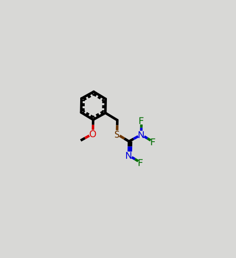 COc1ccccc1CSC(=NF)N(F)F